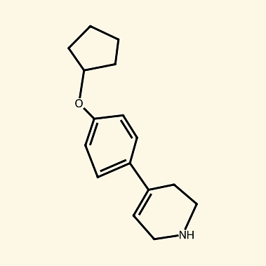 C1=C(c2ccc(OC3CCCC3)cc2)CCNC1